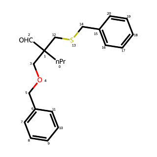 CCCC(C=O)(COCc1ccccc1)CSCc1ccccc1